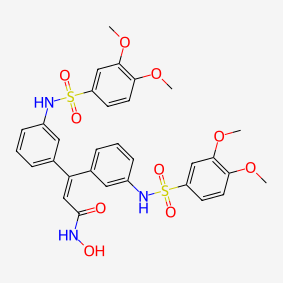 COc1ccc(S(=O)(=O)Nc2cccc(C(=CC(=O)NO)c3cccc(NS(=O)(=O)c4ccc(OC)c(OC)c4)c3)c2)cc1OC